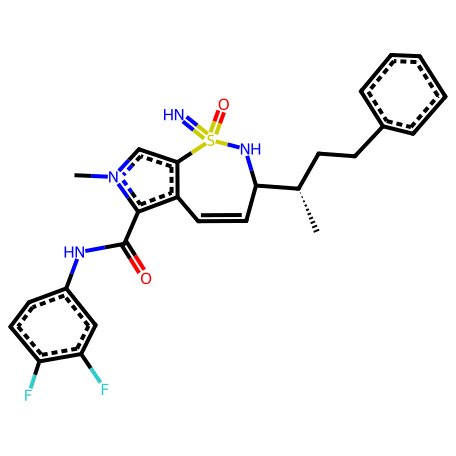 C[C@@H](CCc1ccccc1)C1C=Cc2c(cn(C)c2C(=O)Nc2ccc(F)c(F)c2)S(=N)(=O)N1